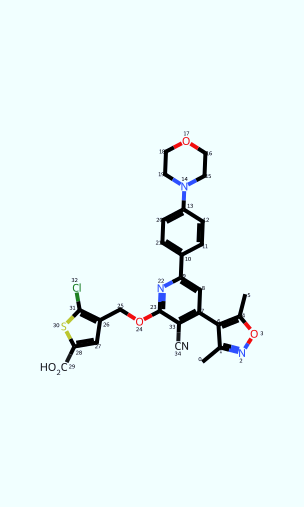 Cc1noc(C)c1-c1cc(-c2ccc(N3CCOCC3)cc2)nc(OCc2cc(C(=O)O)sc2Cl)c1C#N